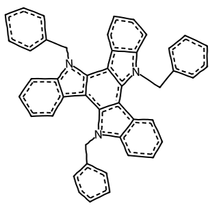 c1ccc(Cn2c3ccccc3c3c2c2c4ccccc4n(Cc4ccccc4)c2c2c4ccccc4n(Cc4ccccc4)c32)cc1